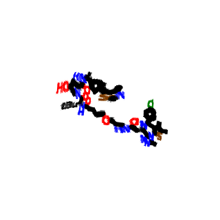 Cc1ncsc1-c1ccc([C@H](C)NC(=O)[C@@H]2C[C@@H](O)CN2C(=O)[C@@H](NC(=O)CCCCOCCCNC(=O)C[C@@H]2N=C(c3ccc(Cl)cc3)c3c(sc(C)c3C)-n3c(C)nnc32)C(C)(C)C)cc1